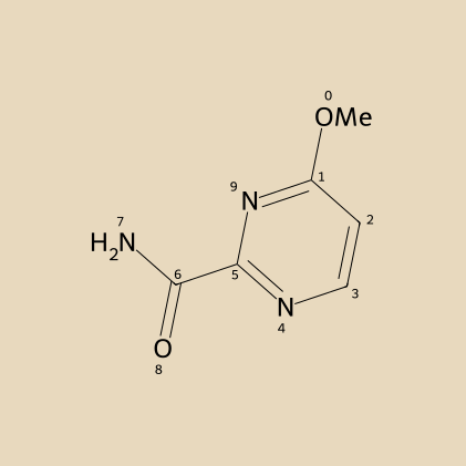 COc1ccnc(C(N)=O)n1